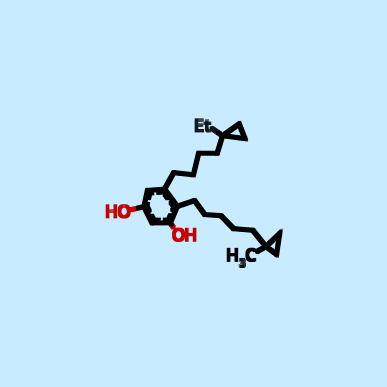 CCC1(CCCCc2cc(O)cc(O)c2CCCCCC2(C)CC2)CC1